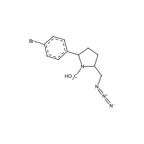 [N-]=[N+]=NCC1CCC(c2ccc(Br)cc2)N1C(=O)O